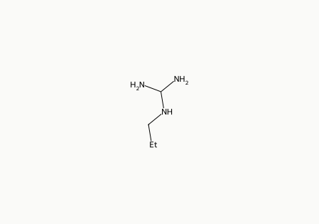 CCCNC(N)N